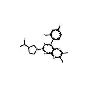 Cc1nc2nc(N3CCC(C(F)F)C3)nc(-c3ccc(F)cc3F)c2nc1C